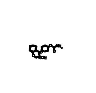 NC(=O)OC1CCN([C@@H]2c3ccccc3OC[C@H]2O)CC1